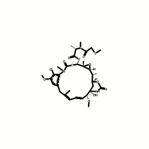 COc1cc2cc(c1Cl)N(C)C(=O)C[C@H](OC(=O)[C@H](C)N(C)C(=O)CSC)[C@]1(C)O[C@H]1[C@H](C)[C@@H]1C[C@@](O)(NC(=O)O1)[C@H](OC)/C=C/C=C(\C)C2